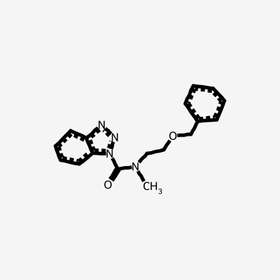 CN(CCOCc1ccccc1)C(=O)n1nnc2ccccc21